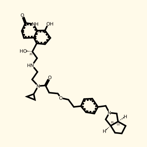 O=C(CCOCCc1ccc(CN2C[C@H]3CCC[C@H]3C2)cc1)N(CCNC[C@H](O)c1ccc(O)c2[nH]c(=O)ccc12)C1CC1